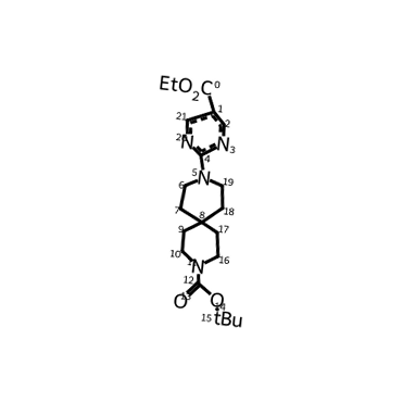 CCOC(=O)c1cnc(N2CCC3(CCN(C(=O)OC(C)(C)C)CC3)CC2)nc1